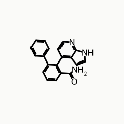 NC(=O)c1cccc(-c2ccccc2)c1-c1ccnc2[nH]ccc12